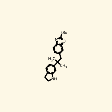 CC(C)(C)c1nc2ccc(CC(C)(C)c3ccc4c(c3)NCC4)cc2o1